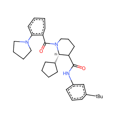 CC(C)(C)c1cccc(NC(=O)C2CCCN(C(=O)c3ccccc3N3CCCC3)[C@H]2C2CCCC2)c1